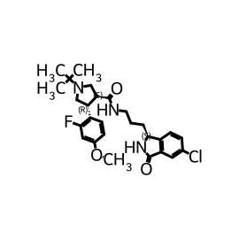 COc1ccc([C@@H]2CN(C(C)(C)C)C[C@H]2C(=O)NCCC[C@@H]2NC(=O)c3cc(Cl)ccc32)c(F)c1